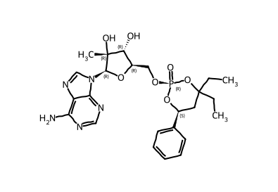 CCC1(CC)C[C@@H](c2ccccc2)O[P@@](=O)(OC[C@H]2O[C@@H](n3cnc4c(N)ncnc43)[C@](C)(O)[C@@H]2O)O1